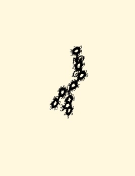 CC1(C)c2ccccc2-c2ccc(N(c3ccc(-c4cccc5c4oc4cc6nc(-c7ccccc7)oc6cc45)cc3)c3cccc(-c4ccccc4)c3)cc21